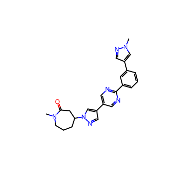 CN1CCCC(n2cc(-c3cnc(-c4cccc(-c5cnn(C)c5)c4)nc3)cn2)CC1=O